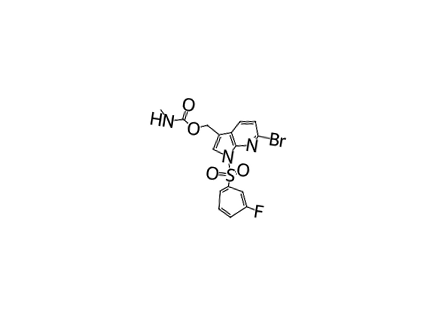 CNC(=O)OCc1cn(S(=O)(=O)c2cccc(F)c2)c2nc(Br)ccc12